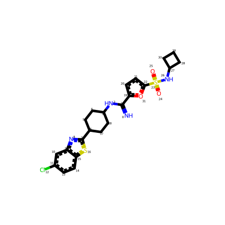 N=C(NC1CCC(c2nc3cc(Cl)ccc3s2)CC1)c1ccc(S(=O)(=O)NC2CCC2)o1